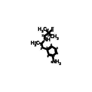 C[C@H](Cc1cccc(N)c1)NCC(C)(C)F